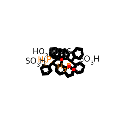 O=S(=O)(O)c1ccccc1C(P)(c1ccccc1S(=O)(=O)O)c1ccc2ccccc2c1-c1c(C(P)(c2ccccc2S(=O)(=O)O)c2ccccc2S(=O)(=O)O)ccc2ccccc12